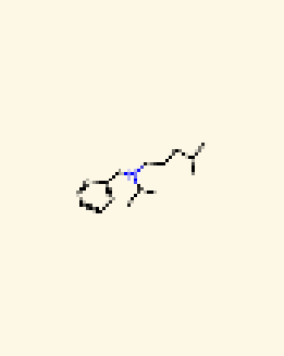 CC(C)CCCN(Cc1ccccc1)C(C)C